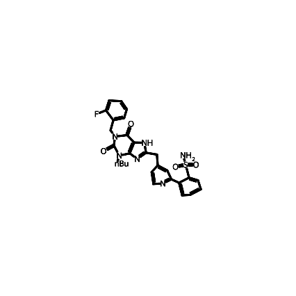 CCCCn1c(=O)n(Cc2ccccc2F)c(=O)c2[nH]c(Cc3ccnc(-c4ccccc4S(N)(=O)=O)c3)nc21